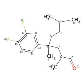 CC(C)=CCC(C)(CC(C)C=O)c1ccc(F)c(F)c1